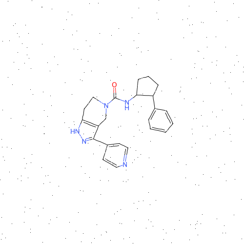 O=C(NC1CCCC1c1ccccc1)N1CCc2[nH]nc(-c3ccncc3)c2C1